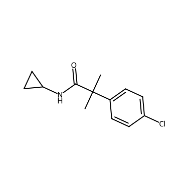 CC(C)(C(=O)NC1CC1)c1ccc(Cl)cc1